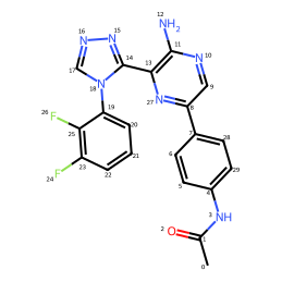 CC(=O)Nc1ccc(-c2cnc(N)c(-c3nncn3-c3cccc(F)c3F)n2)cc1